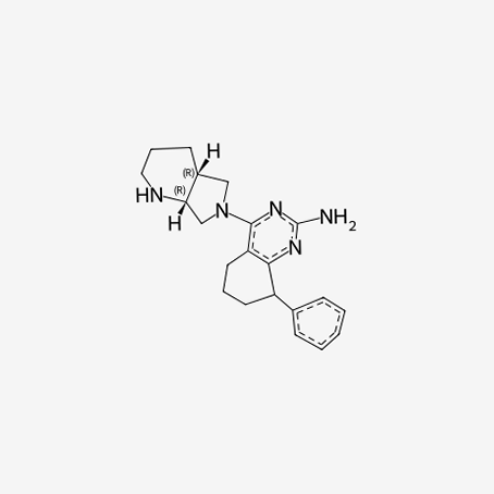 Nc1nc2c(c(N3C[C@H]4CCCN[C@H]4C3)n1)CCCC2c1ccccc1